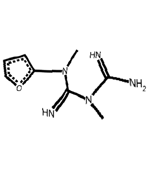 CN(C(=N)N)C(=N)N(C)c1ccco1